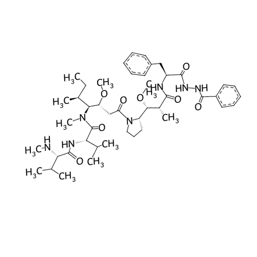 CC[C@H](C)[C@@H]([C@@H](CC(=O)N1CCC[C@H]1[C@H](OC)[C@@H](C)C(=O)N[C@@H](Cc1ccccc1)C(=O)NNC(=O)c1ccccc1)OC)N(C)C(=O)[C@@H](NC(=O)[C@@H](NC)C(C)C)C(C)C